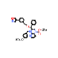 COc1ccc(CN2c3ncccc3N(C(=O)OC(C)(C)C)C[C@@H]2[C@H](OCCc2cccc(-c3cnoc3)c2)c2ccccc2)cc1